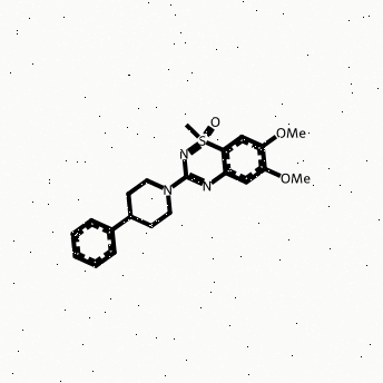 COc1cc2c(cc1OC)S(C)(=O)=NC(N1CCC(c3ccccc3)CC1)=N2